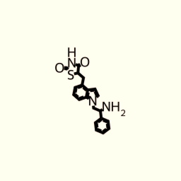 NC(Cn1ccc2c(CC3SC(=O)NC3=O)cccc21)c1ccccc1